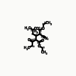 CCOC(=O)C(C#N)C(CC(C)C)C(C(=O)CC)C(=O)OCC